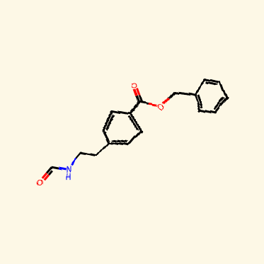 O=CNCCc1ccc(C(=O)OCc2ccccc2)cc1